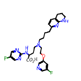 O=C(O)C(CCN(CCCCc1ccc2c(n1)NCCC2)CCOc1cncc(F)c1)Nc1ncc(F)cn1